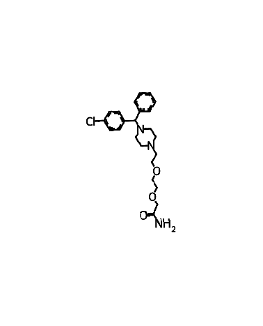 NC(=O)COCCOCCN1CCN(C(c2ccccc2)c2ccc(Cl)cc2)CC1